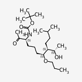 CCCO[C@@H](CCC[C@H](NC(=O)OC(C)(C)C)C(C)=O)[C@@H](CCC(C)C)[C@H](C)O